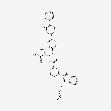 COCCCn1c(C2CCCN(C(=O)CC(Cc3ccc(N4CCN(c5ccccc5)C(=O)C4)cc3)N(C(=O)O)C(C)(C)C)C2)nc2ccccc21